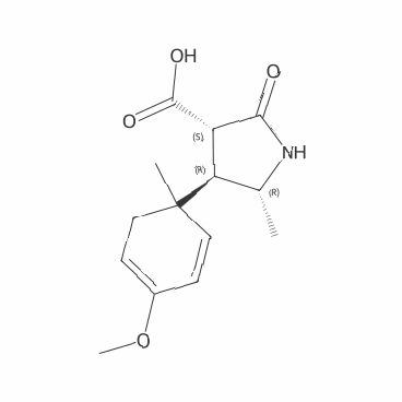 COC1=CCC(C)([C@H]2[C@H](C(=O)O)C(=O)N[C@@H]2C)C=C1